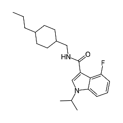 CCCC1CCC(CNC(=O)c2cn(C(C)C)c3cccc(F)c23)CC1